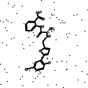 C[C@H](NCc1ccc(-c2cc(Cl)ccc2Cl)o1)C(=O)Nc1ccccc1C(=O)O